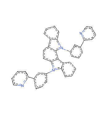 c1ccc(-c2cccc(-n3c4ccccc4c4c3ccc3c5ccccc5n(-c5cccc(-c6ccccn6)c5)c34)c2)nc1